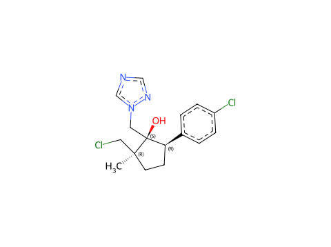 C[C@@]1(CCl)CC[C@H](c2ccc(Cl)cc2)[C@@]1(O)Cn1cncn1